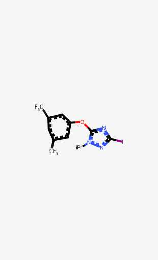 CC(C)n1nc(I)nc1Oc1cc(C(F)(F)F)cc(C(F)(F)F)c1